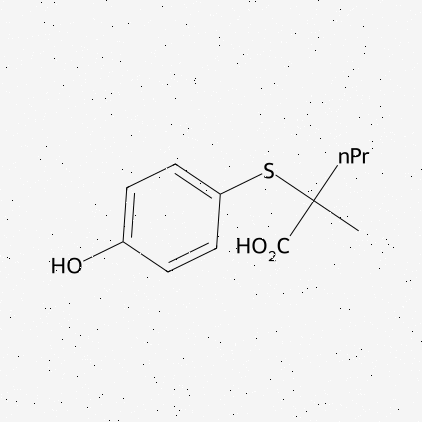 CCCC(C)(Sc1ccc(O)cc1)C(=O)O